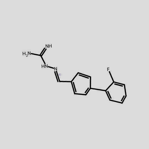 N=C(N)N/N=C/c1ccc(-c2ccccc2F)cc1